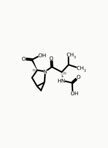 CC(C)[C@H](NC(=O)O)C(=O)N1C2CC2C[C@H]1C(=O)O